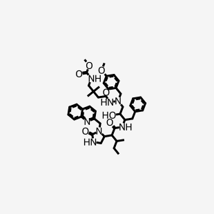 CCC(C)C(C(=O)NC(Cc1ccccc1)C(O)CN(Cc1ccc(OC)cc1)NC(=O)CC(C)(C)CNC(=O)OC)C1CNC(=O)N1Cc1ccc2ccccc2n1